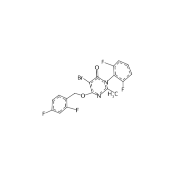 Cc1nc(OCc2ccc(F)cc2F)c(Br)c(=O)n1-c1c(F)cccc1F